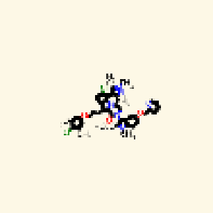 Cc1cc(OCCCc2c3n(c4c(-c5c(C)nn(C)c5C)c(Cl)ccc24)[C@H](C)CN(c2c(C(=O)O)n(C)c4ccc(OCc5ccccn5)cc24)C3=O)cc(C)c1Cl